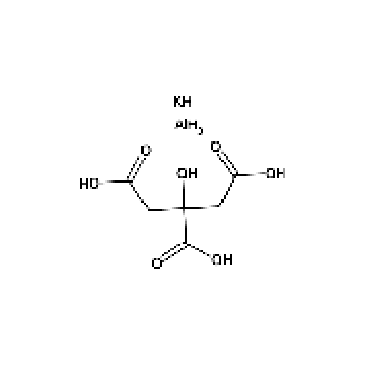 O=C(O)CC(O)(CC(=O)O)C(=O)O.[AlH3].[KH]